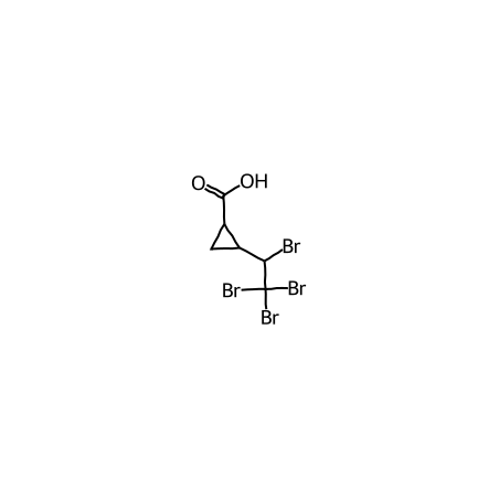 O=C(O)C1CC1C(Br)C(Br)(Br)Br